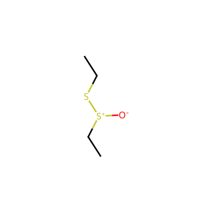 CCS[S+]([O-])CC